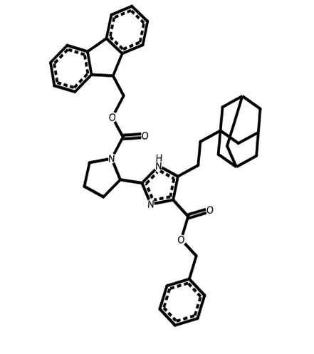 O=C(OCc1ccccc1)c1nc(C2CCCN2C(=O)OCC2c3ccccc3-c3ccccc32)[nH]c1CCC12CC3CC(CC(C3)C1)C2